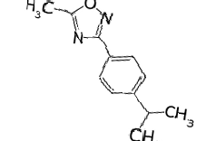 Cc1nc(-c2ccc(C(C)C)cc2)no1